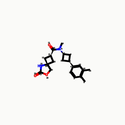 Cc1ccc([C@H]2C[C@@H](N(C)C(=O)[C@H]3C[C@]4(COC(=O)N4)C3)C2)cc1C